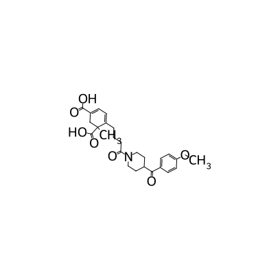 COc1ccc(C(=O)C2CCN(C(=O)CCCC3=CC=C(C(=O)O)CC3(C)C(=O)O)CC2)cc1